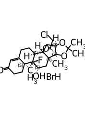 Br.CC1(C)O[C@@H]2C[C@H]3[C@@H]4CCC5=CC(=O)CC[C@]5(C)[C@@]4(F)[C@@H](O)C[C@]3(C)[C@]2(C(=O)CCl)O1